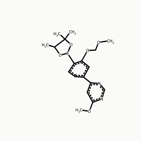 COCOc1cc(-c2cc(OC)ncn2)ccc1B1OC(C)C(C)(C)O1